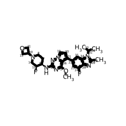 COc1nc(N[C@@H]2CCN(C3COC3)C[C@@H]2F)nn2ccc(-c3cc(F)c4nc(C)n(C(C)C)c4c3)c12